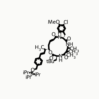 COc1ccc(C[C@H]2NC(=O)/C=C/C[C@@H](C(C)/C=C/c3ccc(CO[Si](C(C)C)(C(C)C)C(C)C)cc3)OC(=O)[C@H](CC(C)(C)C)NC(=O)C(C)(C)C(C)NC2=O)cc1Cl